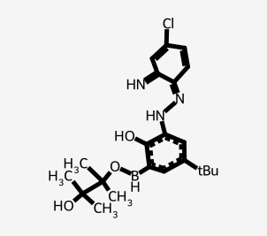 CC(C)(C)c1cc(BOC(C)(C)C(C)(C)O)c(O)c(N/N=C2/C=CC(Cl)=CC2=N)c1